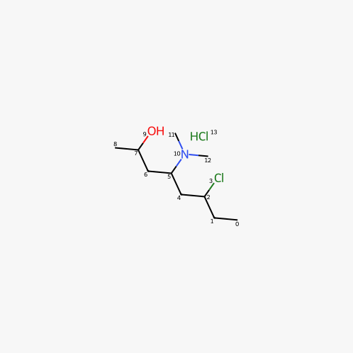 CCC(Cl)CC(CC(C)O)N(C)C.Cl